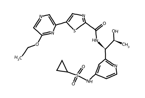 CCOc1cncc(-c2cnc(C(=O)N[C@H](c3cc(NS(=O)(=O)C4CC4)ccn3)[C@H](C)O)s2)n1